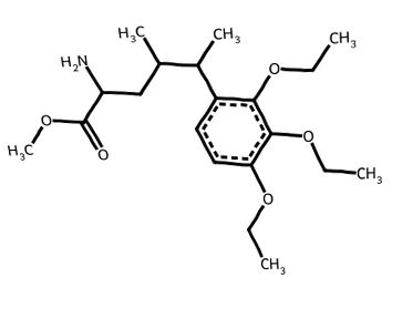 CCOc1ccc(C(C)C(C)CC(N)C(=O)OC)c(OCC)c1OCC